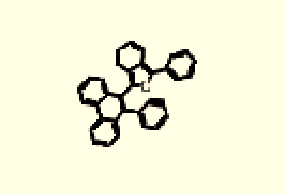 c1cccc(-c2c(-c3oc(-c4ccccc4)c4c3CCC=C4)c3ccccc3c3ccccc23)c#1